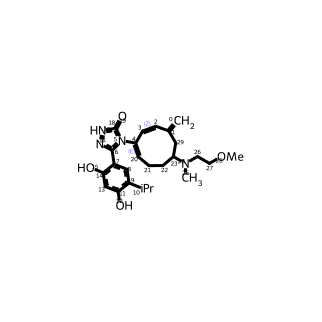 C=C1/C=C\C(n2c(-c3cc(C(C)C)c(O)cc3O)n[nH]c2=O)=C/CCC(N(C)CCOC)C1